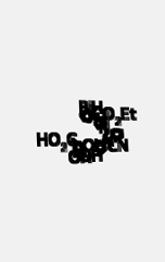 CCOC(=O)C1(c2ccccc2)CCN(CCC(C#N)(c2ccccc2)c2ccccc2)CC1.O=C(O)c1cc(O)c(O)c(O)c1.[BiH3]